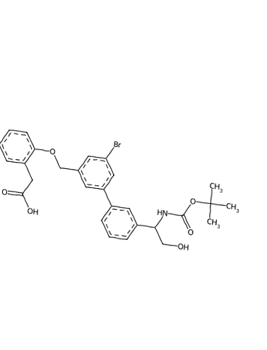 CC(C)(C)OC(=O)NC(CO)c1cccc(-c2cc(Br)cc(COc3ccccc3CC(=O)O)c2)c1